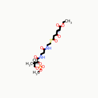 CCOC(=O)/C=C/C(=O)CC(=O)SCCNC(=O)CCNC(=O)[C@@H]1OP(=O)(OC)OCC1(C)C